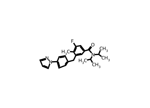 Cc1c(F)cc(C(=O)N(C(C)C)C(C)C)cc1Cc1ccc(-n2cccn2)cc1